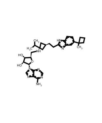 CC(C)[C@]1(NC[C@H]2O[C@@H](n3cnc4c(N)ncnc43)[C@@H](O)[C@H]2O)C[C@H](CCc2nc3cc(C4(C)CCC4)ccc3[nH]2)C1